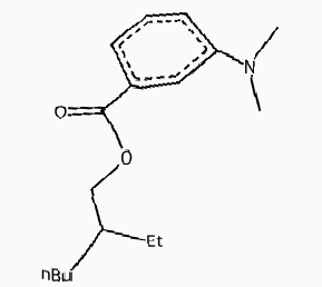 CCCCC(CC)COC(=O)c1cccc(N(C)C)c1